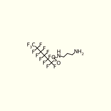 NCCCNS(=O)(=O)C(F)(F)C(F)(F)C(F)(F)C(F)(F)C(F)(F)C(F)(F)F